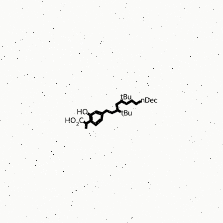 CCCCCCCCCCCCCC(CC(CCc1ccc(C(C)C(=O)O)c(O)c1)C(C)(C)C)C(C)(C)C